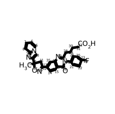 CC1(c2cn3ccccc3n2)CC(c2ccc3c(=O)n(-c4ccc(F)cc4)c(CCCCC(=O)O)nc3c2)=NO1